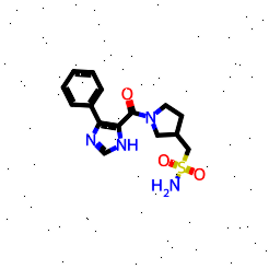 NS(=O)(=O)CC1CCN(C(=O)c2[nH]cnc2-c2ccccc2)C1